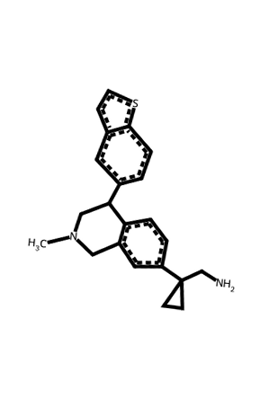 CN1Cc2cc(C3(CN)CC3)ccc2C(c2ccc3sccc3c2)C1